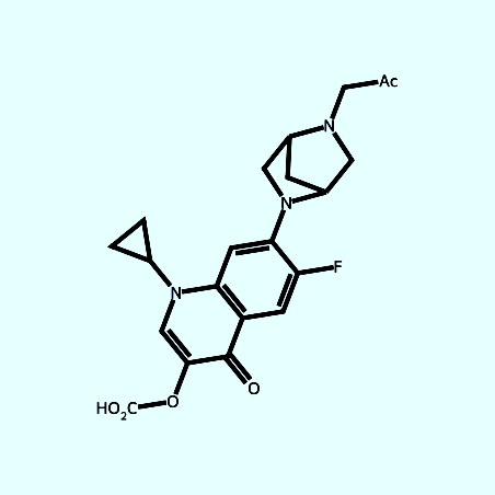 CC(=O)CN1CC2CC1CN2c1cc2c(cc1F)c(=O)c(OC(=O)O)cn2C1CC1